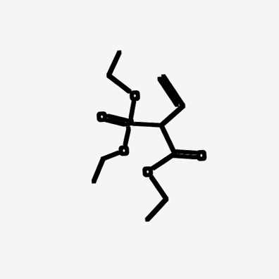 C=CC(C(=O)OCC)P(=O)(OCC)OCC